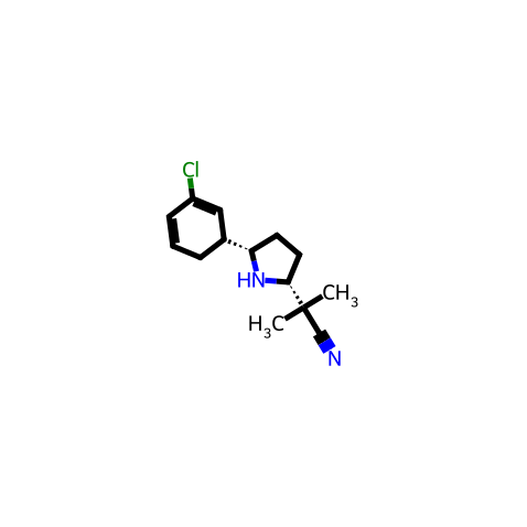 CC(C)(C#N)[C@H]1CC[C@@H](C2C=C(Cl)C=CC2)N1